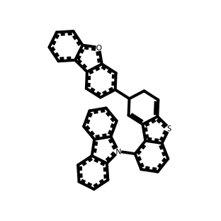 C1=c2sc3cccc(-n4c5ccccc5c5ccccc54)c3c2=CC(c2ccc3c(c2)oc2ccccc23)C1